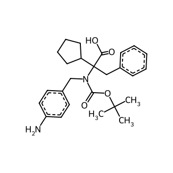 CC(C)(C)OC(=O)N(Cc1ccc(N)cc1)C(Cc1ccccc1)(C(=O)O)C1CCCC1